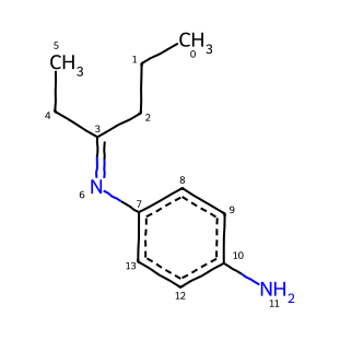 CCCC(CC)=Nc1ccc(N)cc1